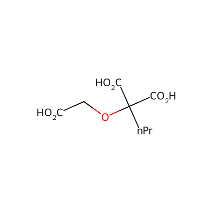 CCCC(OCC(=O)O)(C(=O)O)C(=O)O